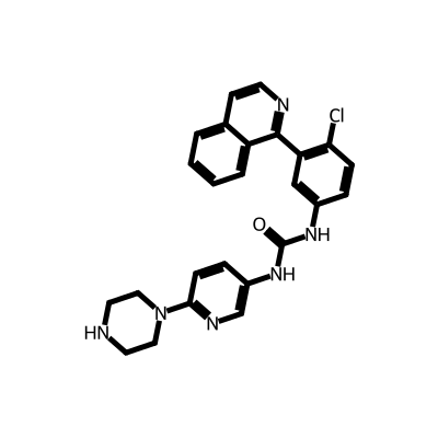 O=C(Nc1ccc(N2CCNCC2)nc1)Nc1ccc(Cl)c(-c2nccc3ccccc23)c1